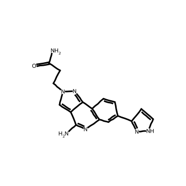 NC(=O)CCn1cc2c(N)nc3cc(-c4cc[nH]n4)ccc3c2n1